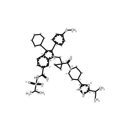 COc1ccc(-c2c(C3CCCCC3)c3ccc(C(=O)NS(=O)(=O)C(C)C)cc3n2CC2(C(=O)N3CCC(c4nnc(C(C)C)o4)CC3)CC2)cc1